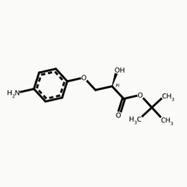 CC(C)(C)OC(=O)[C@H](O)COc1ccc(N)cc1